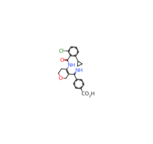 N=C(C1=C(NC(=O)c2c(Cl)cccc2C2CC2)CCOC1)c1ccc(C(=O)O)cc1